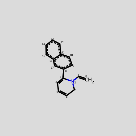 C=CN1CC=CC=C1c1ccc2ccccc2c1